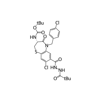 CC(C)(C)OC(=O)N[C@H]1CSc2cc(Cl)c(C(=O)NNC(=O)C(C)(C)C)cc2N(Cc2ccc(Cl)cc2)C1=O